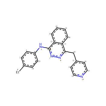 CCc1ccc(Nc2nnc(Cc3ccncc3)c3ccccc23)cc1